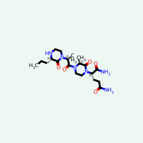 CCC[C@@H]1NCCN([C@@H](C)C(=O)N2CCN([C@@H](CCC(N)=O)C(N)=O)C(=O)[C@@H]2C)C1=O